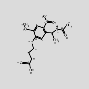 COc1cc([N+](=O)[O-])c(C(C)NC(C)=O)cc1OCCCC(=O)O